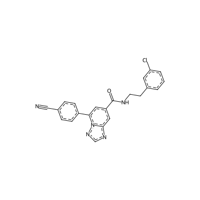 N#Cc1ccc(-c2cc(C(=O)NCCc3cccc(Cl)c3)cc3ncnn23)cc1